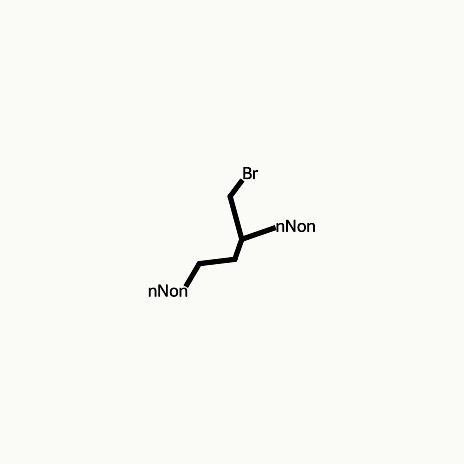 CCCCCCCCCCCC(CBr)CCCCCCCCC